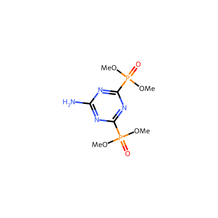 COP(=O)(OC)c1nc(N)nc(P(=O)(OC)OC)n1